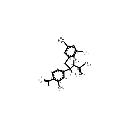 C=C(I)c1ccc(C(C)(Cc2cc(C)cc(C)c2)C(C)C(=C)C)cc1C